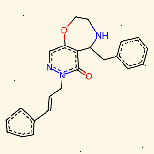 O=c1c2c(cnn1CC=Cc1ccccc1)OCCNC2Cc1ccccc1